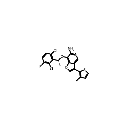 Cc1ccsc1-c1coc2c(O[C@H](C)c3c(Cl)ccc(F)c3Cl)c(N)ncc12